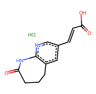 Cl.O=C(O)/C=C/c1cnc2c(c1)CCCC(=O)N2